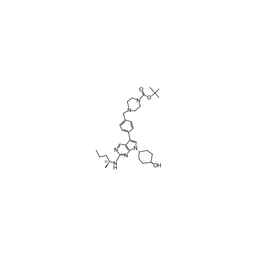 CCC[C@H](C)Nc1ncc2c(-c3ccc(CN4CCN(C(=O)OC(C)(C)C)CC4)cc3)cn([C@H]3CC[C@H](O)CC3)c2n1